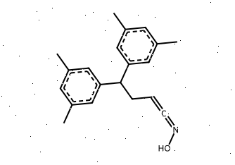 Cc1cc(C)cc(C(CC=C=NO)c2cc(C)cc(C)c2)c1